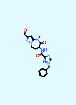 CN1C(=O)C(NC(=O)c2ncn(Cc3ccccc3)n2)CCn2nc(C=O)cc21